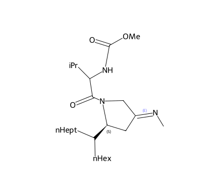 CCCCCCCC(CCCCCC)[C@@H]1C/C(=N\C)CN1C(=O)C(NC(=O)OC)C(C)C